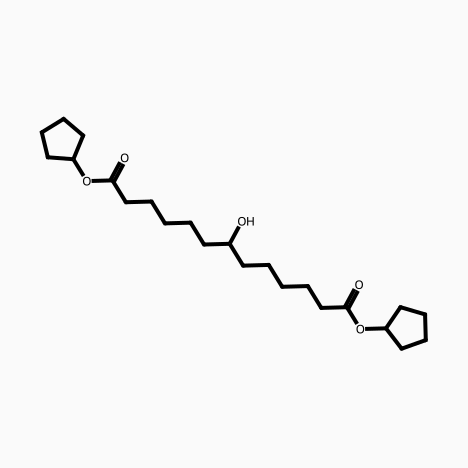 O=C(CCCCCC(O)CCCCCC(=O)OC1CCCC1)OC1CCCC1